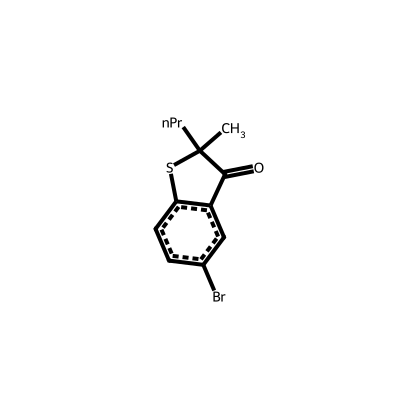 CCCC1(C)Sc2ccc(Br)cc2C1=O